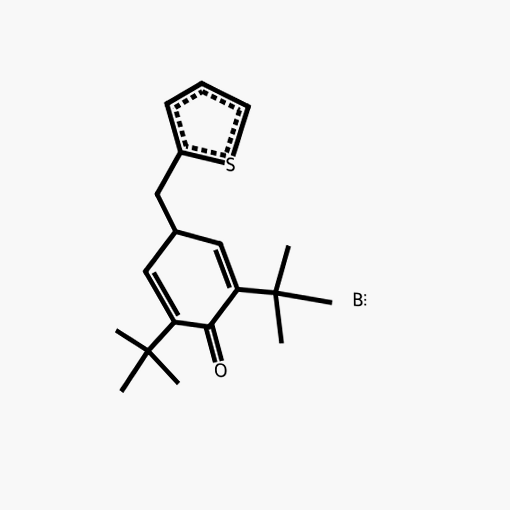 CC(C)(C)C1=CC(Cc2cccs2)C=C(C(C)(C)C)C1=O.[B]